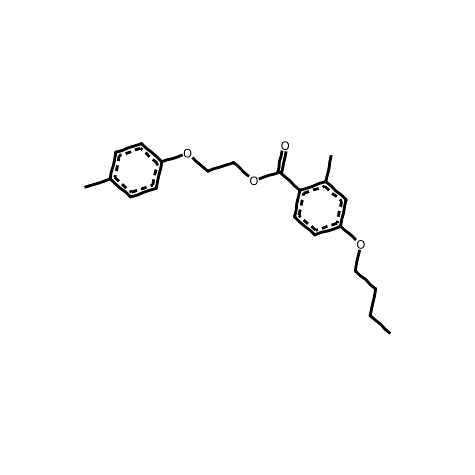 CCCCOc1ccc(C(=O)OCCOc2ccc(C)cc2)c(C)c1